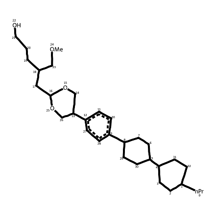 CCCC1CCC(C2CCC(c3ccc(C4COC(CC(CCCO)COC)OC4)cc3)CC2)CC1